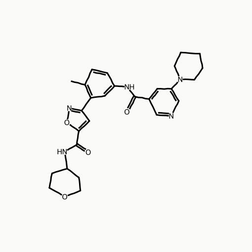 Cc1ccc(NC(=O)c2cncc(N3CCCCC3)c2)cc1-c1cc(C(=O)NC2CCOCC2)on1